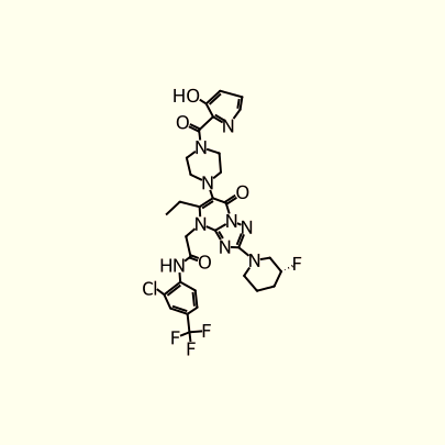 CCc1c(N2CCN(C(=O)c3ncccc3O)CC2)c(=O)n2nc(N3CCC[C@@H](F)C3)nc2n1CC(=O)Nc1ccc(C(F)(F)F)cc1Cl